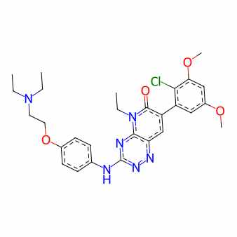 CCN(CC)CCOc1ccc(Nc2nnc3cc(-c4cc(OC)cc(OC)c4Cl)c(=O)n(CC)c3n2)cc1